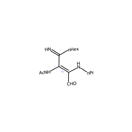 CCCCCCC(=N)/C(NC(C)=O)=C(/C=O)NCCC